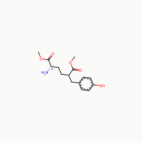 COC(=O)C(CC[C@H](N)C(=O)OC)Cc1ccc(O)cc1